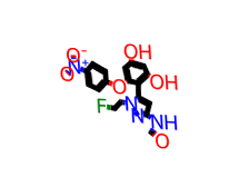 O=CNc1cc(-c2c(O)cc(O)cc2Oc2ccc([N+](=O)[O-])cc2)n(CCF)n1